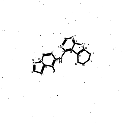 Cc1c(Nc2ncnc3sc4c(c23)CCCC4)ccn2nccc12